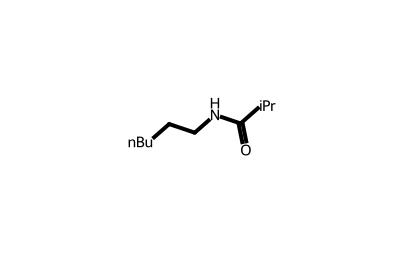 [CH2]CCCCCNC(=O)C(C)C